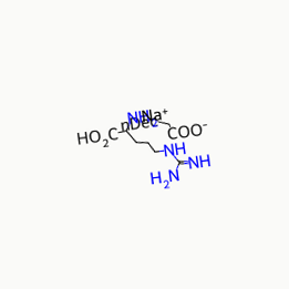 CCCCCCCCCCCC(=O)[O-].N=C(N)NCCCC(N)C(=O)O.[Na+]